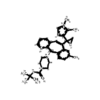 Cc1ccc2c(c1)C(C1(c3ncn(C)c3C)CO1)=Cc1cccnc1[C@H]2N1CCN(C(=O)OC(C)(C)C)CC1